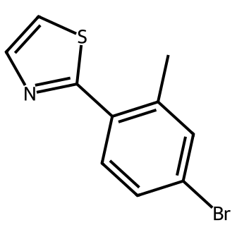 Cc1cc(Br)ccc1-c1nccs1